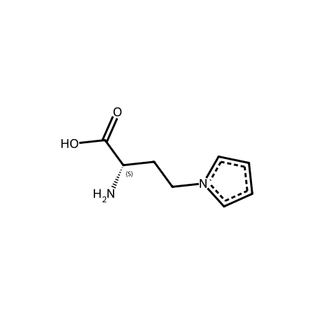 N[C@@H](CCn1cccc1)C(=O)O